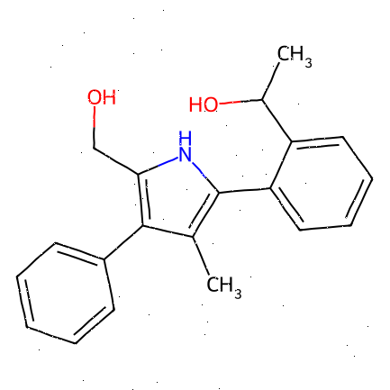 Cc1c(-c2ccccc2C(C)O)[nH]c(CO)c1-c1ccccc1